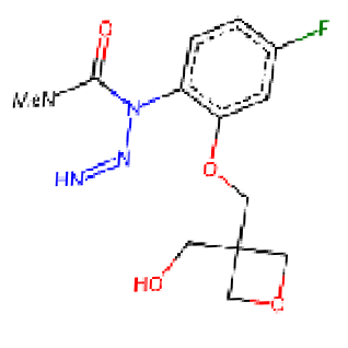 CNC(=O)N(N=N)c1ccc(F)cc1OCC1(CO)COC1